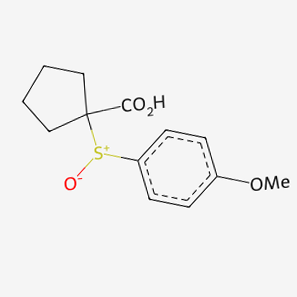 COc1ccc([S+]([O-])C2(C(=O)O)CCCC2)cc1